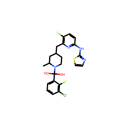 CC1CC(Cc2nc(Nc3nccs3)ccc2F)CCN1C(O)(O)c1cccc(Cl)c1F